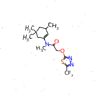 CC1C=C(N(C)C(=O)COc2nnc(C(F)(F)F)s2)CC(C)(C)C1